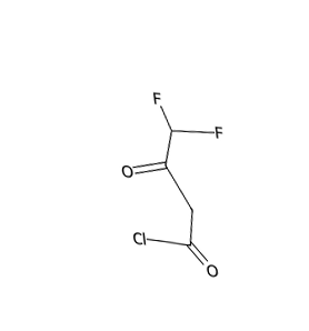 O=C(Cl)CC(=O)C(F)F